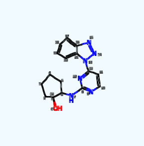 O[C@H]1CCCCC1Nc1nccc(-n2nnc3ccccc32)n1